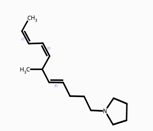 C/C=C\C=C/C(C)/C=C/CCCN1CCCC1